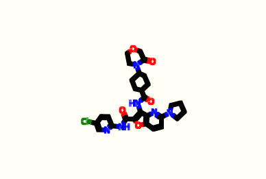 O=C(Nc1ccc(Cl)cn1)c1oc2ccc(N3CCCC3)nc2c1NC(=O)C1CCC(N2CCOCC2=O)CC1